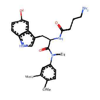 CCN(C(=O)C(Cc1c[nH]c2ccc(O)cc12)NC(=O)CCCN)c1ccc(OC)c(OC)c1